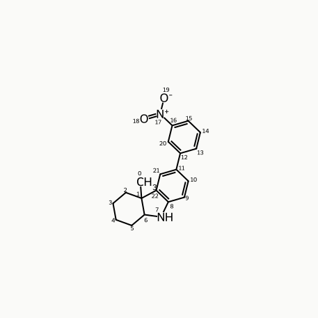 CC12CCCCC1Nc1ccc(-c3cccc([N+](=O)[O-])c3)cc12